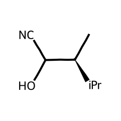 CC(C)[C@H](C)C(O)C#N